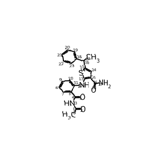 CC(=O)NC(=O)c1ccccc1Nc1sc(C(C)c2ccccc2)cc1C(N)=O